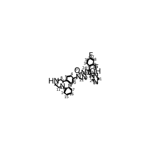 O=c1n(-c2ccc(C3CNCCN3c3ccccc3)cc2)cnn1CC(O)(Cn1cncn1)c1ccc(F)cc1F